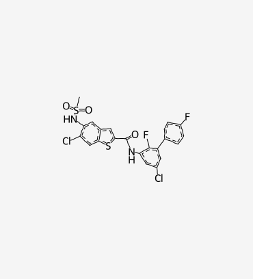 CS(=O)(=O)Nc1cc2cc(C(=O)Nc3cc(Cl)cc(-c4ccc(F)cc4)c3F)sc2cc1Cl